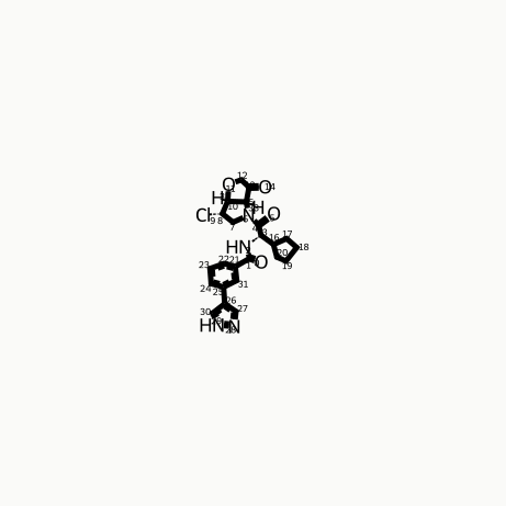 O=C(N[C@H](C(=O)N1C[C@H](Cl)[C@H]2OCC(=O)[C@H]21)C1CCCC1)c1cccc(-c2cn[nH]c2)c1